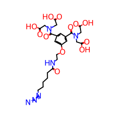 [N-]=[N+]=NCCCCCC(=O)NCCOc1cc(C(=O)N(CC(=O)O)CC(=O)O)cc(C(=O)N(CC(=O)O)CC(=O)O)c1